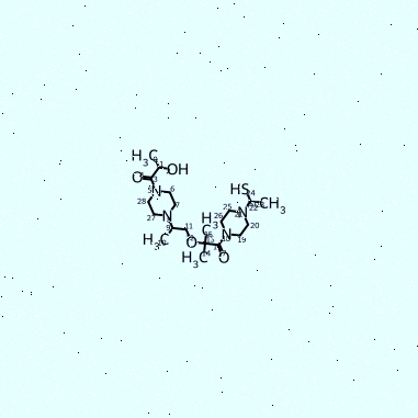 CC(O)C(=O)N1CCN(C(C)COC(C)(C)C(=O)N2CCN([C@H](C)S)CC2)CC1